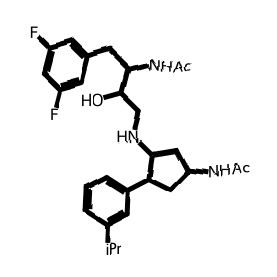 CC(=O)NC1CC(NCC(O)C(Cc2cc(F)cc(F)c2)NC(C)=O)C(c2cccc(C(C)C)c2)C1